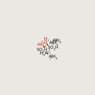 O=S(=O)(O)O.O=S(=O)(O)O.[AlH3].[AlH3].[AlH3].[AlH3]